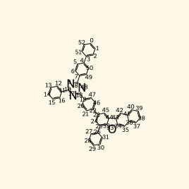 c1ccc(-c2ccc(-c3nc(-c4ccccc4)nc(-c4ccc(-c5cc(-c6ccccc6)c6oc7cc8ccccc8cc7c6c5)cc4)n3)cc2)cc1